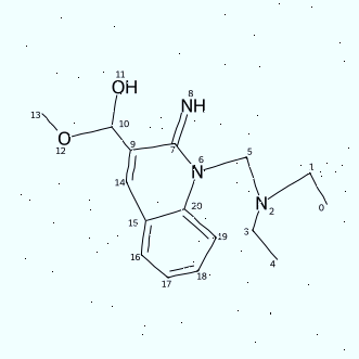 CCN(CC)Cn1c(=N)c(C(O)OC)cc2ccccc21